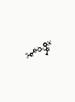 COC(=O)c1csc(-c2csc(N3CC[C@@H](OCc4c(-c5ccccc5OC(F)(F)F)noc4C4CC4)C[C@H]3C)n2)c1